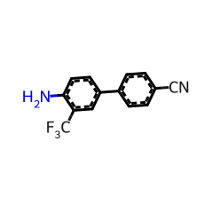 N#Cc1ccc(-c2ccc(N)c(C(F)(F)F)c2)cc1